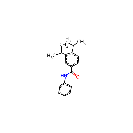 CC(C)c1ccc(C(=O)Nc2ccccc2)cc1C(C)C